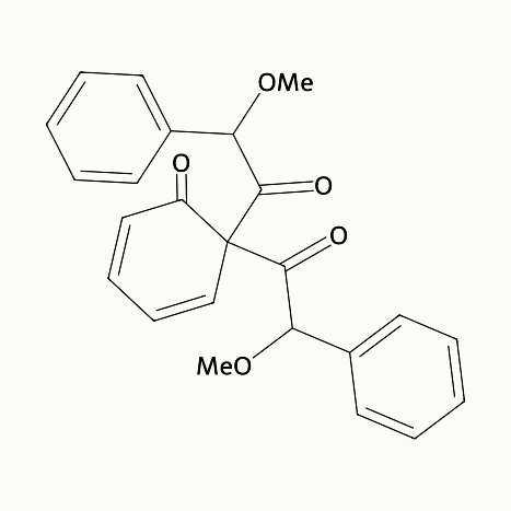 COC(C(=O)C1(C(=O)C(OC)c2ccccc2)C=CC=CC1=O)c1ccccc1